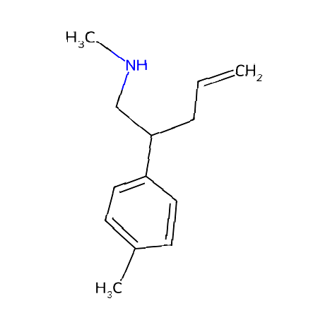 C=CCC(CNC)c1ccc(C)cc1